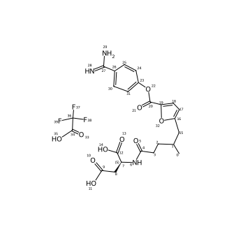 CC(CCC(=O)N[C@@H](CC(=O)O)C(=O)O)Cc1ccc(C(=O)Oc2ccc(C(=N)N)cc2)o1.O=C(O)C(F)(F)F